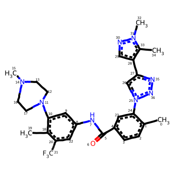 Cc1ccc(C(=O)Nc2cc(N3CCN(C)CC3)c(C)c(C(F)(F)F)c2)cc1-n1cc(-c2cnn(C)c2C)nn1